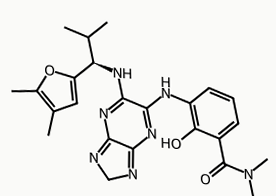 Cc1cc([C@H](Nc2nc3c(nc2Nc2cccc(C(=O)N(C)C)c2O)=NCN=3)C(C)C)oc1C